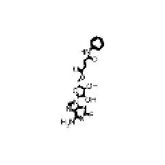 Nc1nc(F)nc2c1ncn2[C@@H]1O[C@H](COC(=O)CCC(=O)Nc2ccccc2)[C@@H](O)[C@H]1O